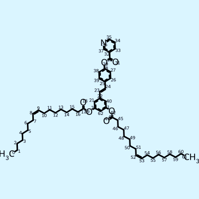 CCCCCCCC/C=C\CCCCCCCC(=O)Oc1cc(/C=C/c2ccc(OC(=O)c3cccnc3)cc2)cc(OC(=O)CCCCCCC/C=C\CCCCCCCC)c1